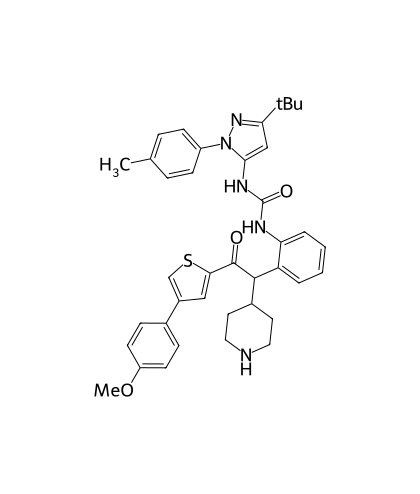 COc1ccc(-c2csc(C(=O)C(c3ccccc3NC(=O)Nc3cc(C(C)(C)C)nn3-c3ccc(C)cc3)C3CCNCC3)c2)cc1